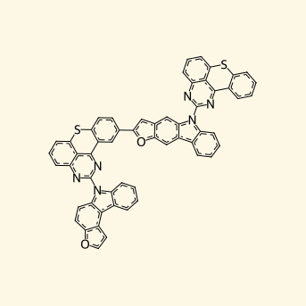 c1ccc2c(c1)Sc1cccc3nc(-n4c5ccccc5c5cc6oc(-c7ccc8c(c7)-c7nc(-n9c%10ccccc%10c%10c%11ccoc%11ccc%109)nc9cccc(c79)S8)cc6cc54)nc-2c13